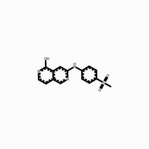 CS(=O)(=O)c1ccc(Nc2cc3c(O)nccc3cn2)cc1